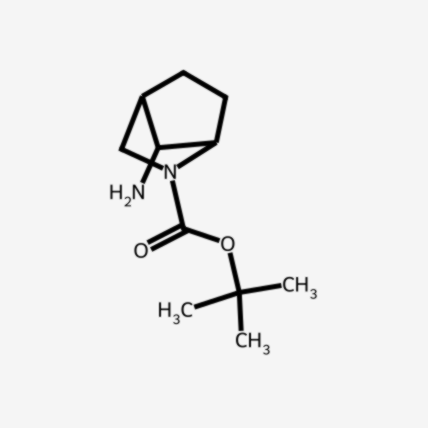 CC(C)(C)OC(=O)N1CC2CCC1C2N